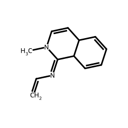 C=C/N=C1/C2C=CC=CC2C=CN1C